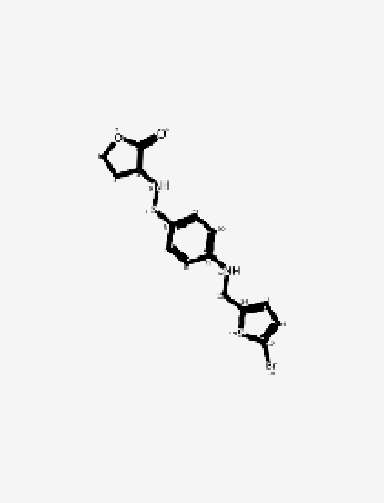 O=C1OCCC1NSc1ccc(NCc2ccc(Br)s2)cc1